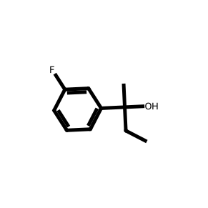 CCC(C)(O)c1cccc(F)c1